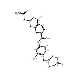 C[C@H]1CN(CC(N)=O)Cc2cc(C(=O)Nc3cc(C(F)(F)F)c(CN4CCN(C)CC4)cn3)ccc21